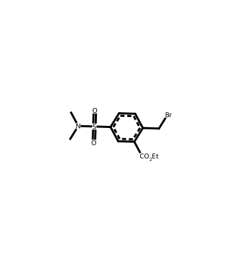 CCOC(=O)c1cc(S(=O)(=O)N(C)C)ccc1CBr